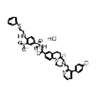 Cl.O=C(NS(=O)(=O)c1ccc(NCCSc2ccccc2)c([N+](=O)[O-])c1)c1ccc2c(c1)CC[C@H]1CN(Cc3ncccc3-c3ccc(Cl)cc3)CCN21